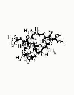 CCC[C@H](NC(=O)[C@H](C)C[C@H](O)[C@H](CC(C)C)NC(=O)[C@H](CCOC)NC(=O)[C@H](CC(C)C)NC(=O)OC(C)(C)C)C(=O)NC(C)C